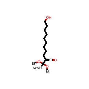 CCOC(NC(C)=O)(OCC)C(=C=O)CCCCCCCCCO